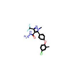 Cc1cc(Cl)ccc1Oc1ccc(-c2c(C(=O)NN)c(C(F)F)nn2C)cc1